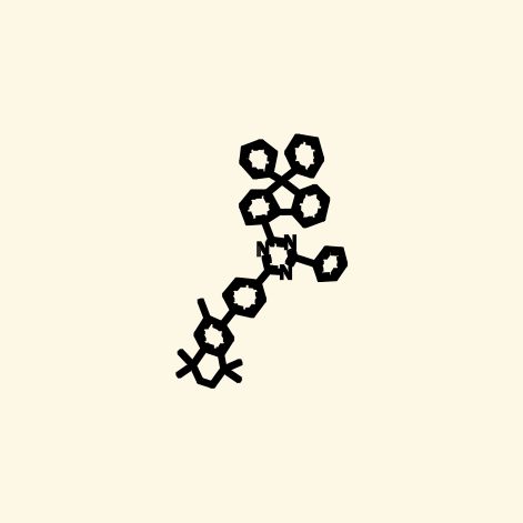 Cc1cc2c(cc1-c1ccc(-c3nc(-c4ccccc4)nc(-c4cccc5c4-c4ccccc4C5(c4ccccc4)c4ccccc4)n3)cc1)C(C)(C)CCC2(C)C